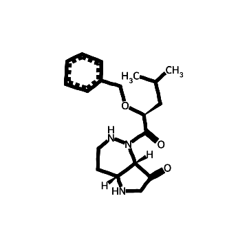 CC(C)C[C@H](OCc1ccccc1)C(=O)N1NCC[C@H]2NCC(=O)[C@H]21